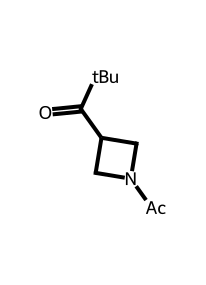 CC(=O)N1CC(C(=O)C(C)(C)C)C1